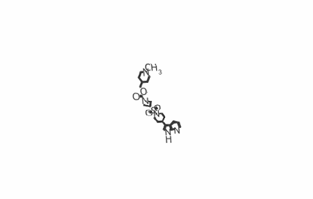 CN1CCC(COC(=O)N2CC(S(=O)(=O)N3CCC(c4c[nH]c5ncccc45)CC3)C2)CC1